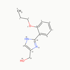 CCCOc1ccccc1-c1nc(CO)c[nH]1